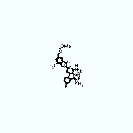 CCNc1cc(-c2ccc(F)cc2-c2nncn2C)cc(N2Cc3c(cc(COCOC)cc3C(F)(F)F)C2=O)n1